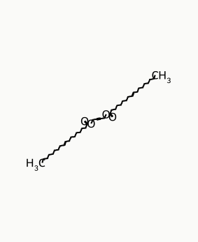 CCCCCCCCC=CCCCCCCCC(=O)OCC#CCOC(=O)CCCCCCCC=CCCCCCCCC